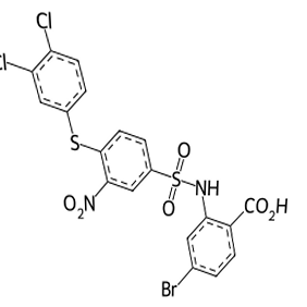 O=C(O)c1ccc(Br)cc1NS(=O)(=O)c1ccc(Sc2ccc(Cl)c(Cl)c2)c([N+](=O)[O-])c1